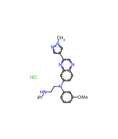 COc1cccc(N(CCNC(C)C)c2ccc3ncc(-c4cnn(C)c4)nc3c2)c1.Cl